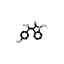 CN1C(=O)/C(=C(\N)c2ccc(O)cc2)c2ccccc21